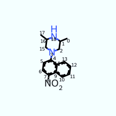 CC1CN(c2ccc([N+](=O)[O-])c3ccccc23)CC(C)N1